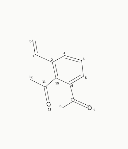 C=Cc1cccc(C(C)=O)c1C(C)=O